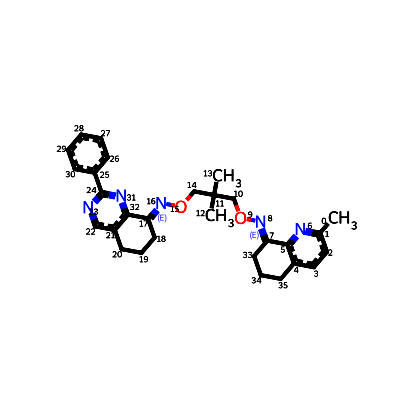 Cc1ccc2c(n1)/C(=N/OCC(C)(C)CO/N=C1\CCCc3cnc(-c4ccccc4)nc31)CCC2